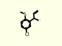 [CH2]C(C=C)c1cc(Cl)ccc1SC